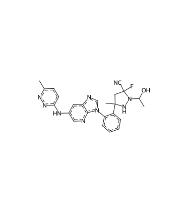 Cc1ccc(Nc2cnc3c(c2)ncn3-c2ccccc2C2(C)CC(F)(C#N)N(C(C)O)N2)nn1